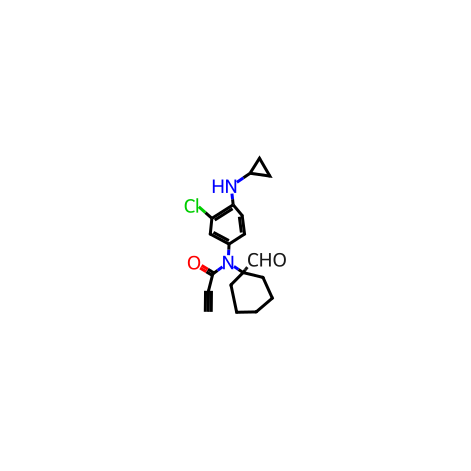 C#CC(=O)N(c1ccc(NC2CC2)c(Cl)c1)C1(C=O)CCCCC1